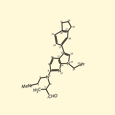 CNCCN(CC(C)C=O)c1ccc2c(-c3ccc4c(c3)CCC4)cn(CC(C)C)c2n1